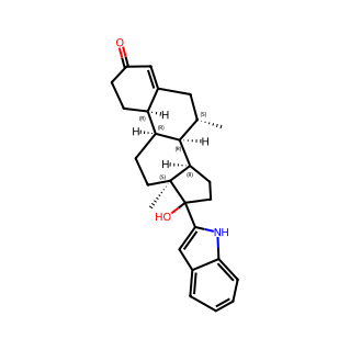 C[C@H]1CC2=CC(=O)CC[C@@H]2[C@@H]2CC[C@@]3(C)[C@H](CCC3(O)c3cc4ccccc4[nH]3)[C@@H]21